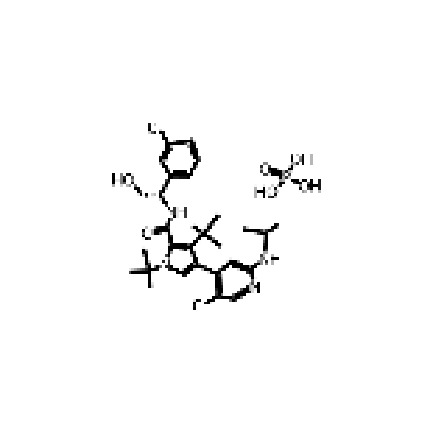 CC(C)Nc1cc(-c2cn(C(C)(C)C)c(C(=O)N[C@H](CO)c3cccc(Cl)c3)c2C(C)(C)C)c(Cl)cn1.O=P(O)(O)O